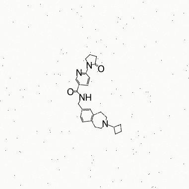 O=C(NCc1ccc2c(c1)CCN(C1CCC1)CC2)c1ccc(N2CCCC2=O)nc1